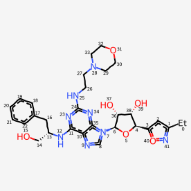 CCc1cc([C@H]2O[C@@H](n3cnc4c(N[C@H](CO)Cc5ccccc5)nc(NCCN5CCOCC5)nc43)[C@H](O)[C@@H]2O)on1